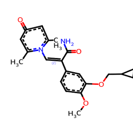 COc1ccc(/C(=C/n2c(C)cc(=O)cc2C)C(N)=O)cc1OCC1CC1